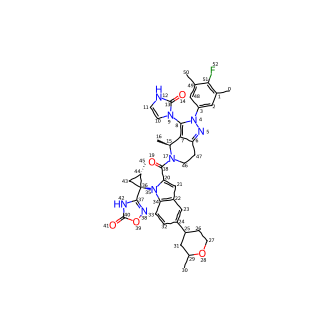 Cc1cc(-n2nc3c(c2-n2cc[nH]c2=O)[C@H](C)N(C(=O)c2cc4cc(C5CCOC(C)C5)ccc4n2[C@@]2(c4noc(=O)[nH]4)C[C@@H]2C)CC3)cc(C)c1F